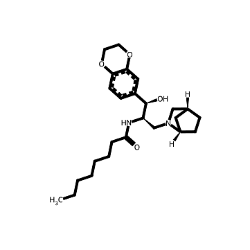 CCCCCCCC(=O)N[C@H](CN1C[C@@H]2CC[C@H]1C2)[C@H](O)c1ccc2c(c1)OCCO2